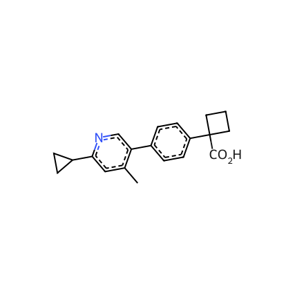 Cc1cc(C2CC2)ncc1-c1ccc(C2(C(=O)O)CCC2)cc1